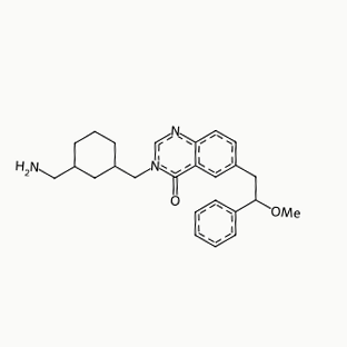 COC(Cc1ccc2ncn(CC3CCCC(CN)C3)c(=O)c2c1)c1ccccc1